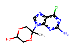 CC1(n2cnc3c(Cl)nc(N)nc32)COC(O)CO1